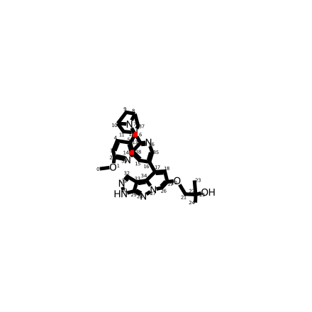 COc1ccc(CN2C3CC2CN(c2ccc(-c4cc(OCC(C)(C)O)cn5nc6[nH]ncc6c45)cn2)C3)cn1